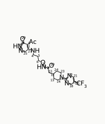 CC(=O)c1c(NCCCONC(=O)CC2CCN(c3ncc(C(F)(F)F)cn3)CC2)cn[nH]c1=O